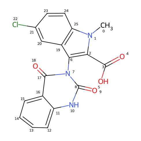 Cn1c(C(=O)O)c(-n2c(=O)[nH]c3ccccc3c2=O)c2cc(Cl)ccc21